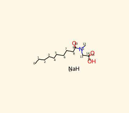 CCCCCCCCCC(=O)N(C)CC(=O)O.[NaH]